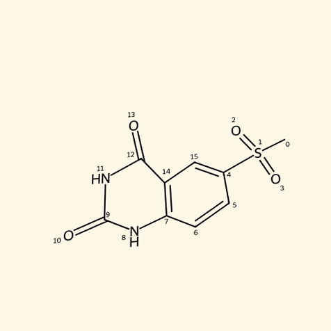 CS(=O)(=O)c1ccc2[nH]c(=O)[nH]c(=O)c2c1